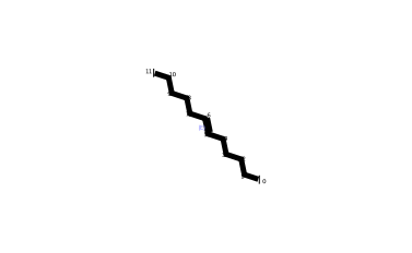 ICCCC/C=C/CCCCI